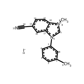 Cc1cccc(-n2c[n+](C)c3ccc(C#N)cc32)c1.[I-]